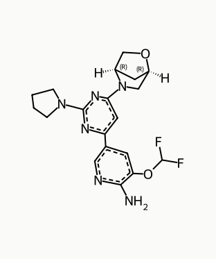 Nc1ncc(-c2cc(N3C[C@H]4C[C@@H]3CO4)nc(N3CCCC3)n2)cc1OC(F)F